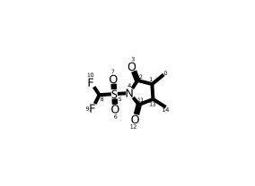 CC1C(=O)N(S(=O)(=O)C(F)F)C(=O)C1C